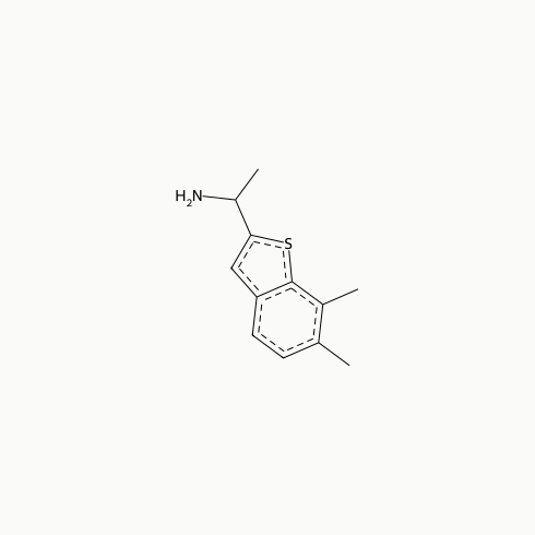 Cc1ccc2cc(C(C)N)sc2c1C